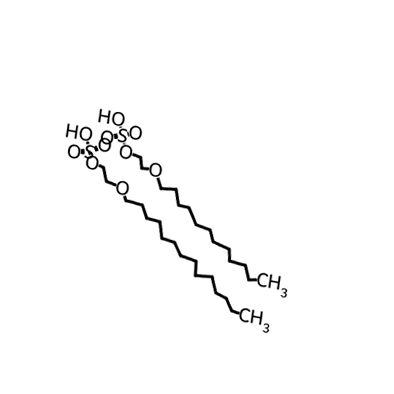 CCCCCCCCCCCCCCOCCOS(=O)(=O)O.CCCCCCCCCCCCOCCOS(=O)(=O)O